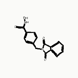 O=C(NO)c1ccc(CN2C(=O)c3ccccc3C2=O)cc1